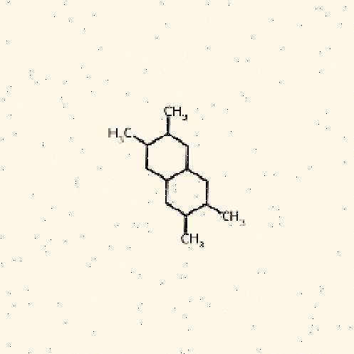 CC1CC2CC(C)C(C)CC2CC1C